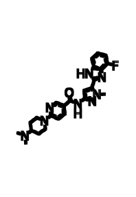 CN(C)C1CCN(c2ccc(C(=O)Nc3cc(-c4nc5c(F)cccc5[nH]4)n(C)n3)cn2)CC1